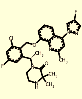 Cc1cc(-n2cc(F)cn2)c2cccc(OCc3c(Cl)cc(F)cc3[C@H](C)N3CCNC(C)(C)C3=O)c2n1